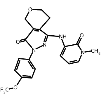 Cn1cccc(Nc2nn(-c3ccc(OC(F)(F)F)cc3)c(=O)c3c2CCOC3)c1=O